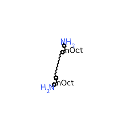 CCCCCCCCC(c1ccc(N)cc1)c1ccc(CCCCCCCCCCCCCc2ccc(C(CCCCCCCC)c3ccc(N)cc3)cc2)cc1